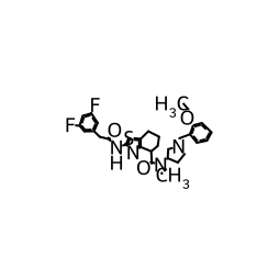 CCOc1ccccc1CN1CCC(N(C)C(=O)C2CCCc3sc(NC(=O)Cc4cc(F)cc(F)c4)nc32)C1